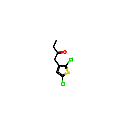 CCC(=O)Cc1cc(Cl)sc1Cl